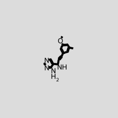 COc1cc(C)cc(C#CC(=N)c2cncnc2N)c1